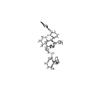 N#Cc1cccc(-c2c(O)nc(SCc3ccccc3Cl)c3c2CCCC3)c1